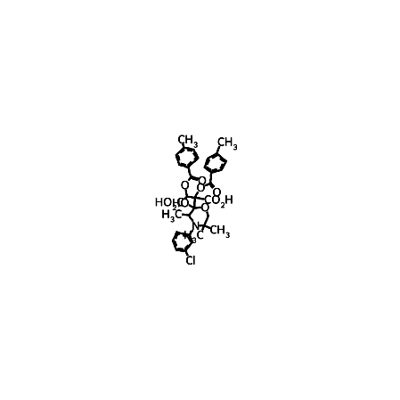 Cc1ccc(C(=O)OC(C(=O)O)C(OC(=O)c2ccc(C)cc2)(C(=O)O)C2(O)OCC(C)(C)N(c3cccc(Cl)c3)C2C)cc1